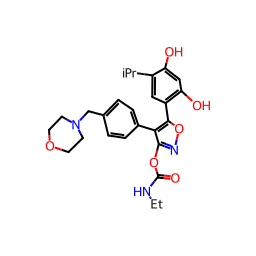 CCNC(=O)Oc1noc(-c2cc(C(C)C)c(O)cc2O)c1-c1ccc(CN2CCOCC2)cc1